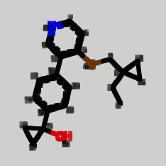 CCC1(CSc2ccncc2-c2ccc(C3(O)CC3)cc2)CC1